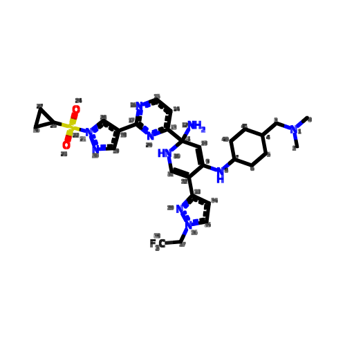 CN(C)CC1CCC(NC2=CC(N)(c3ccnc(-c4cnn(S(=O)(=O)C5CC5)c4)n3)NC=C2c2ccn(CC(F)(F)F)n2)CC1